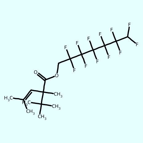 CC(C)=CC(C)(C(=O)OCC(F)(F)C(F)(F)C(F)(F)C(F)(F)C(F)(F)C(F)F)C(C)(C)C